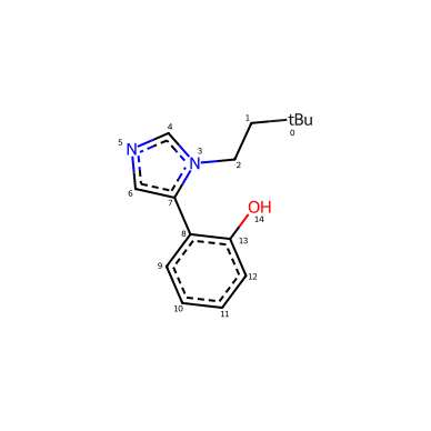 CC(C)(C)CCn1cncc1-c1ccccc1O